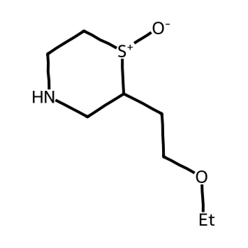 CCOCCC1CNCC[S+]1[O-]